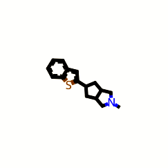 CN1CC2CC(c3cc4ccccc4s3)CC2C1